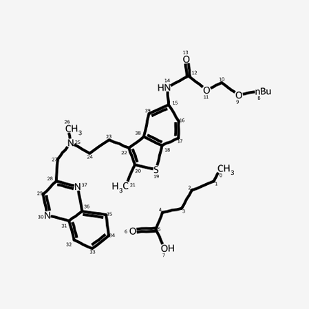 CCCCCC(=O)O.CCCCOCOC(=O)Nc1ccc2sc(C)c(CCN(C)Cc3cnc4ccccc4n3)c2c1